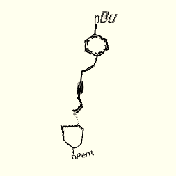 CCCCC[C@H]1CC[C@H](/C=C/C#C/C=C/c2ccc(CCCC)cc2)CC1